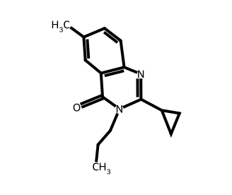 CCCn1c(C2CC2)nc2ccc(C)cc2c1=O